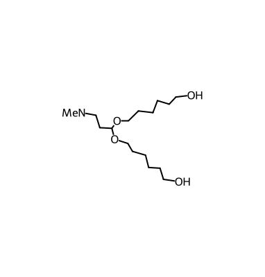 CNCCC(OCCCCCCO)OCCCCCCO